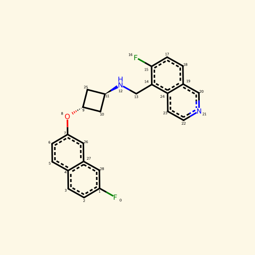 Fc1ccc2ccc(O[C@H]3C[C@H](NCc4c(F)ccc5cnccc45)C3)cc2c1